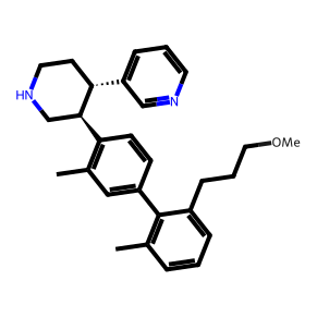 COCCCc1cccc(C)c1-c1ccc([C@H]2CNCC[C@@H]2c2cccnc2)c(C)c1